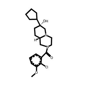 COc1cccc(C(=O)N2CCN3C[C@](O)(C4CCCC4)CC[C@H]3C2)c1Cl